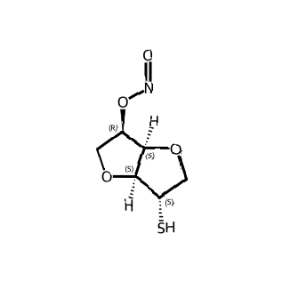 O=NO[C@@H]1CO[C@H]2[C@@H]1OC[C@@H]2S